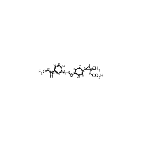 CC1(CC(=O)O)CC1c1ccc(OCCc2cccc(NCC(F)(F)F)n2)cc1